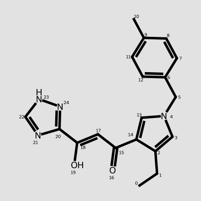 CCc1cn(Cc2ccc(C)cc2)cc1C(=O)C=C(O)c1nc[nH]n1